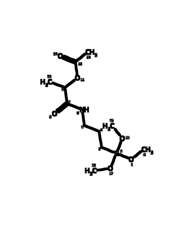 CO[Si](CCCNC(=O)C(C)OC(C)=O)(OC)OC